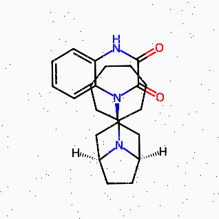 O=c1[nH]c2ccccc2n([C@H]2C[C@H]3CC[C@@H](C2)N3C2CCCCCC2)c1=O